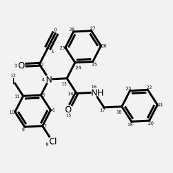 C#CC(=O)N(c1cc(Cl)ccc1I)C(C(=O)NCc1ccccc1)c1ccccc1